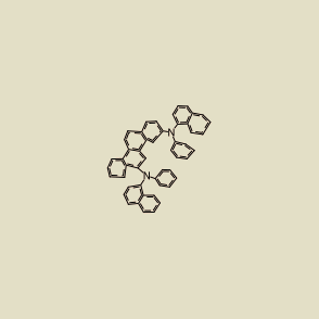 c1ccc(N(c2ccc3ccc4c5ccccc5c(N(c5ccccc5)c5cccc6ccccc56)cc4c3c2)c2cccc3ccccc23)cc1